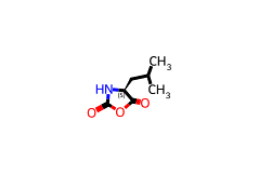 CC(C)C[C@@H]1NC(=O)OC1=O